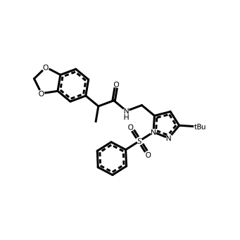 CC(C(=O)NCc1cc(C(C)(C)C)nn1S(=O)(=O)c1ccccc1)c1ccc2c(c1)OCO2